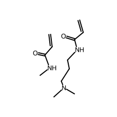 C=CC(=O)NC.C=CC(=O)NCCCN(C)C